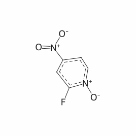 O=[N+]([O-])c1cc[n+]([O-])c(F)c1